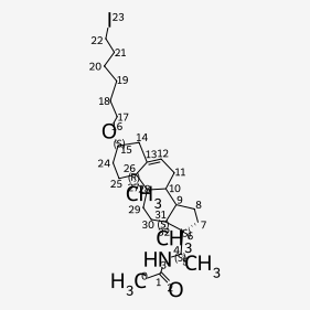 CC(=O)N[C@@H](C)[C@H]1CCC2C3CC=C4C[C@@H](OCCCCCCI)CC[C@]4(C)C3CC[C@@]21C